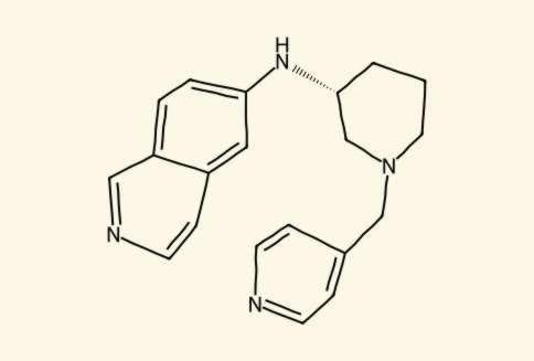 c1cc(CN2CCC[C@@H](Nc3ccc4cnccc4c3)C2)ccn1